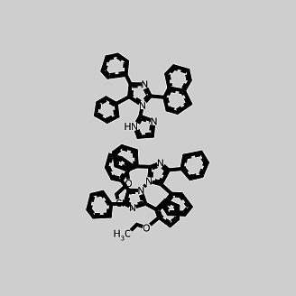 CCOc1ccccc1-c1nc(-c2ccccc2)c(-c2ccccc2)n1-n1c(-c2ccccc2OCC)nc(-c2ccccc2)c1-c1ccccc1.c1ccc(-c2nc(-c3cccc4ccccc34)n(-c3ncc[nH]3)c2-c2ccccc2)cc1